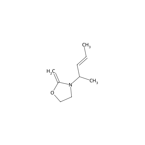 C=C1OCCN1C(C)C=CC